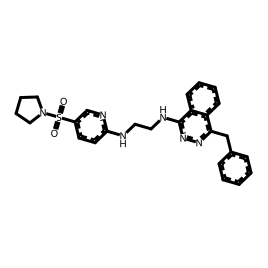 O=S(=O)(c1ccc(NCCNc2nnc(Cc3ccccc3)c3ccccc23)nc1)N1CCCC1